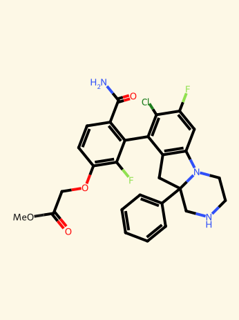 COC(=O)COc1ccc(C(N)=O)c(-c2c(Cl)c(F)cc3c2CC2(c4ccccc4)CNCCN32)c1F